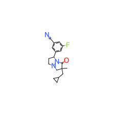 CC1(CC2CC2)CN2CCC(c3cc(F)cc(C#N)c3)N2C1=O